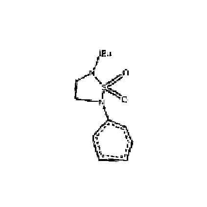 CC(C)(C)N1CCN(c2ccccc2)S1(=O)=O